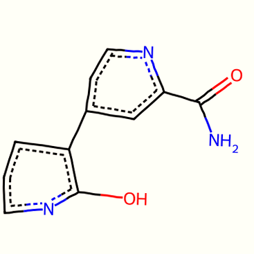 NC(=O)c1cc(-c2cccnc2O)ccn1